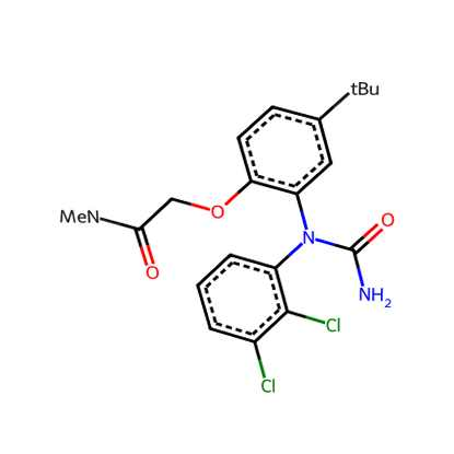 CNC(=O)COc1ccc(C(C)(C)C)cc1N(C(N)=O)c1cccc(Cl)c1Cl